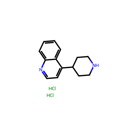 Cl.Cl.c1ccc2c(C3CCNCC3)ccnc2c1